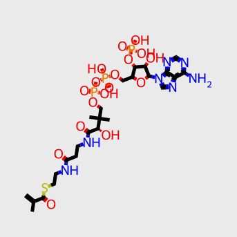 C=C(C)C(=O)SCCNC(=O)CCNC(=O)[C@H](O)C(C)(C)COP(=O)(O)OP(=O)(O)OCC1OC(n2cnc3c(N)ncnc32)C(O)C1OP(=O)(O)O